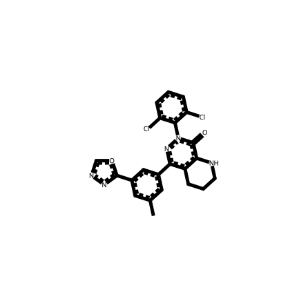 Cc1cc(-c2nnco2)cc(-c2nn(-c3c(Cl)cccc3Cl)c(=O)c3c2CCCN3)c1